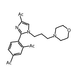 CC(=O)c1ccc(-c2nc(C(C)=O)cn2CCCN2CCOCC2)c(C(C)=O)c1